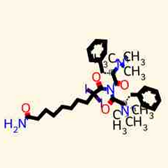 C[N+](C)(C)[C@@H](Cc1ccccc1)C(=O)N(C(=O)[C@H](Cc1ccccc1)[N+](C)(C)C)C(=O)C(I)(I)CCCCCCCC(N)=O